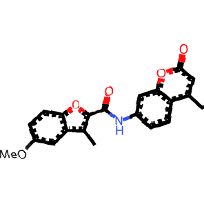 COc1ccc2oc(C(=O)Nc3ccc4c(C)cc(=O)oc4c3)c(C)c2c1